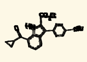 CCOC(=O)c1[nH]c2c(C(=O)C3CC3)cccc2c1-c1ccc(C(C)(C)C)cc1